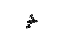 c1ccc(-c2nc(-c3ccc(-c4ccccn4)cc3)cc(-c3ccc(-c4ccc5c(c4)oc4ccccc45)c4c3oc3ccccc34)n2)cc1